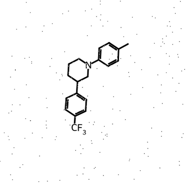 Cc1ccc(N2CCCC(c3ccc(C(F)(F)F)cc3)C2)cc1